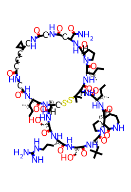 CC[C@H](C)[C@@H]1NC(=O)CNC(=O)CCCC2(CC2)CNC(=O)CNC(=O)CC(C(N)=O)NC(=O)[C@@H]2CCCN2C(=O)[C@H]([C@@H](C)CC)NC(=O)[C@H]2NC(=O)[C@H]([C@@H](C)CC)NC(=O)[C@H]3CCCNC(=O)[C@]34CCCN4C(=O)[C@H](CC(C)(C)C)NC(=O)[C@H](CO)NC(=O)[C@H](CCCNC(=N)N)NC(=O)[C@H](CO)NC(=O)[C@H](CSSC2(C)C)NC1=O